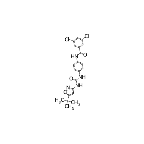 CC(C)(C)c1cc(NC(=O)Nc2ccc(NC(=O)c3cc(Cl)cc(Cl)c3)cc2)no1